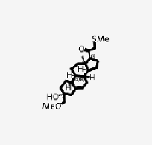 COC[C@]1(O)CC[C@H]2C(=CC[C@@H]3[C@@H]2CC[C@]2(C)[C@@H](C(=O)CSC)CC[C@@H]32)C1